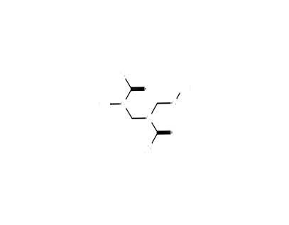 CNCN(CN(C)C(N)=O)C(N)=O